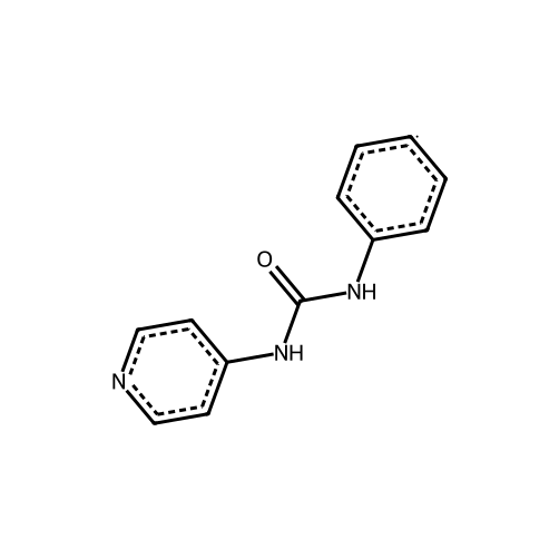 O=C(Nc1cc[c]cc1)Nc1ccncc1